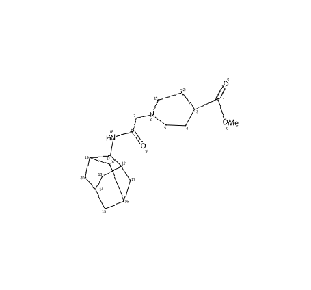 COC(=O)C1CCN(CC(=O)NC2C3CC4CC(C3)CC2C4)CC1